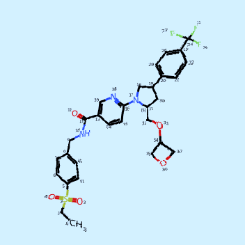 CCS(=O)(=O)c1ccc(CNC(=O)c2ccc(N3CC(c4ccc(C(F)(F)F)cc4)C[C@H]3COC3COC3)nc2)cc1